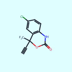 C#CC1(C(F)(F)F)OC(=O)Nc2ccc(Cl)cc21